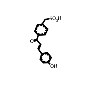 O=C(/C=C/c1ccc(O)cc1)c1ccc(CS(=O)(=O)O)cc1